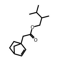 CC(C)C(C)COC(=O)CC12C=CC(CC1)C2